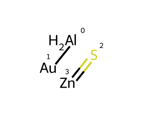 [AlH2][Au].[S]=[Zn]